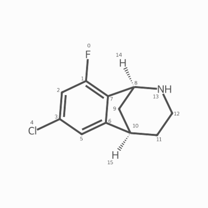 Fc1cc(Cl)cc2c1[C@@H]1C[C@H]2CCN1